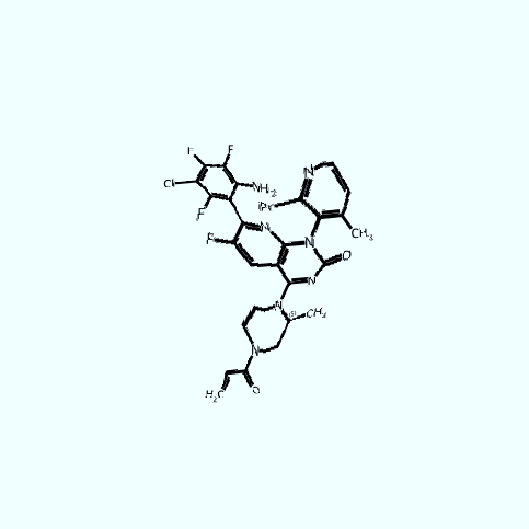 C=CC(=O)N1CCN(c2nc(=O)n(-c3c(C)ccnc3C(C)C)c3nc(-c4c(N)c(F)c(F)c(Cl)c4F)c(F)cc23)[C@@H](C)C1